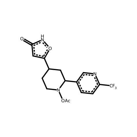 CC(=O)ON1CCC(c2cc(=O)[nH]o2)CC1c1ccc(C(F)(F)F)nc1